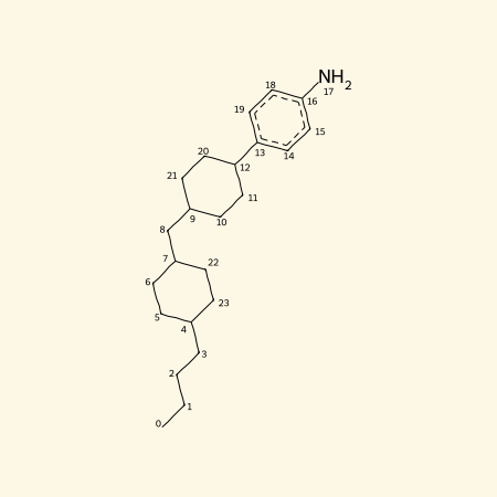 CCCCC1CCC(CC2CCC(c3ccc(N)cc3)CC2)CC1